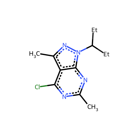 CCC(CC)n1nc(C)c2c(Cl)nc(C)nc21